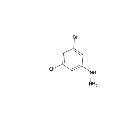 NNc1cc(Cl)cc(Br)c1